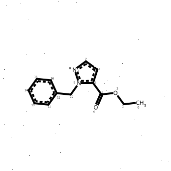 CCOC(=O)c1ccnn1Cc1ccccc1